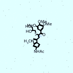 COc1cc(C(=O)/C(=C/c2cn(C)c3cc(NC(C)=O)ccc23)SCC(O)CO)cc(OC)c1OC